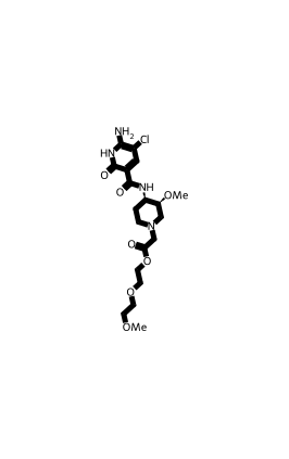 COCCOCCOC(=O)CN1CC[C@H](NC(=O)c2cc(Cl)c(N)[nH]c2=O)[C@H](OC)C1